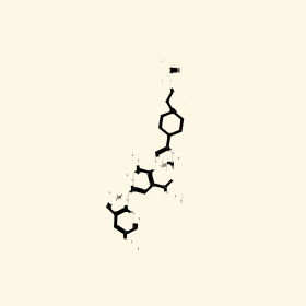 CC(C#N)c1cc(-n2ncc3cc(C#N)cnc32)nc(N)c1-n1cc(C2CCC(O)(CCOC(=O)C(C)(C)C)CC2)nn1